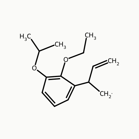 [CH2]C(C=C)c1cccc(OC(C)C)c1OCC